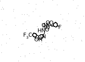 O=C(NCc1cc(-c2ccc(C(F)(F)F)cc2O)ncn1)[C@@H]1CCCN1S(=O)(=O)c1cc2cc(F)ccc2o1